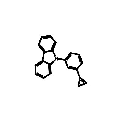 C1=C(c2cccc(-n3c4ccccc4c4ccccc43)c2)C1